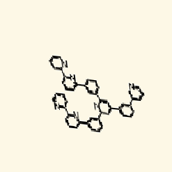 c1ccc(-c2cccc(-c3cccc(-c4cc(-c5cccc(-c6cccnc6)c5)cc(-c5cccc(-c6cccc(-c7ccccn7)n6)c5)n4)c3)n2)nc1